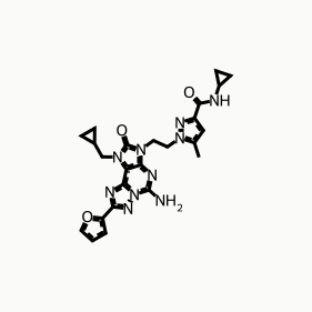 Cc1cc(C(=O)NC2CC2)nn1CCn1c(=O)n(CC2CC2)c2c1nc(N)n1nc(-c3ccco3)nc21